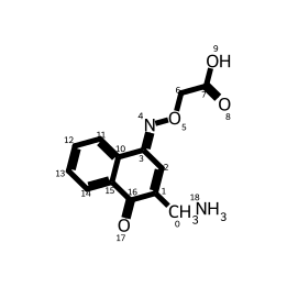 CC1=C/C(=N\OCC(=O)O)c2ccccc2C1=O.N